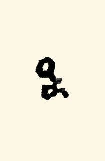 COc1cc[c]cc1Nc1ccccc1